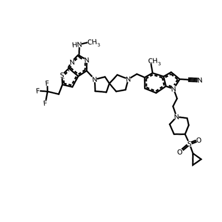 CNc1nc(N2CCC3(CCN(Cc4ccc5c(cc(C#N)n5CCN5CCC(S(=O)(=O)C6CC6)CC5)c4C)C3)C2)c2cc(CC(F)(F)F)sc2n1